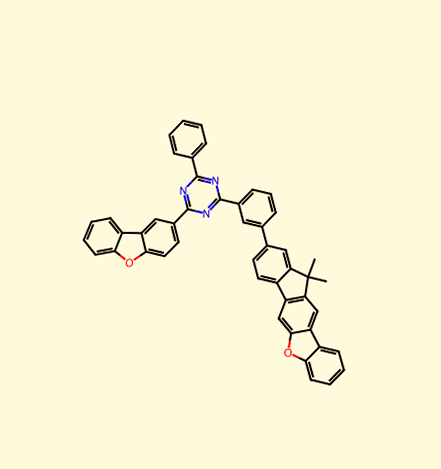 CC1(C)c2cc(-c3cccc(-c4nc(-c5ccccc5)nc(-c5ccc6oc7ccccc7c6c5)n4)c3)ccc2-c2cc3oc4ccccc4c3cc21